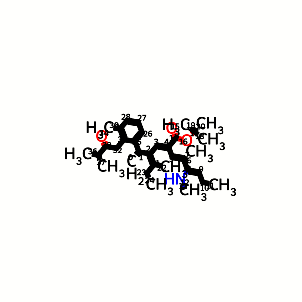 C=C(C(/C=C(\C=C(C)\C(=C\CC)NC)C(=O)OC(C)(C)C)=C(/C)CC)c1cccc(C)c1CC(=O)C(C)C